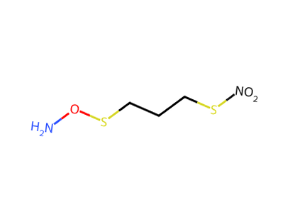 NOSCCCS[N+](=O)[O-]